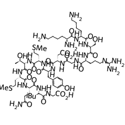 CC[C@H](C)[C@H](NC(=O)[C@H](CCC(N)=O)NC(=O)[C@H](CCSC)NC(=O)[C@@H](NC(=O)[C@H](CCSC)NC(=O)[C@H](Cc1ccc(O)cc1)NC(=O)[C@H](CC(=O)O)NC(=O)CNC(=O)[C@H](CCCN=C(N)N)NC(=O)[C@H](CO)NC(=O)[C@H](CCCCN)NC(=O)[C@@H](N)CCCCN)[C@@H](C)O)C(=O)NCC(=O)O